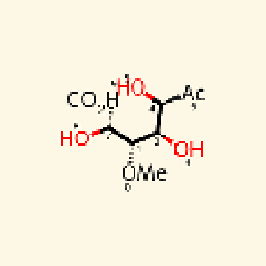 CO[C@@H]([C@H](O)[C@@H](O)C(C)=O)[C@H](O)C(=O)O